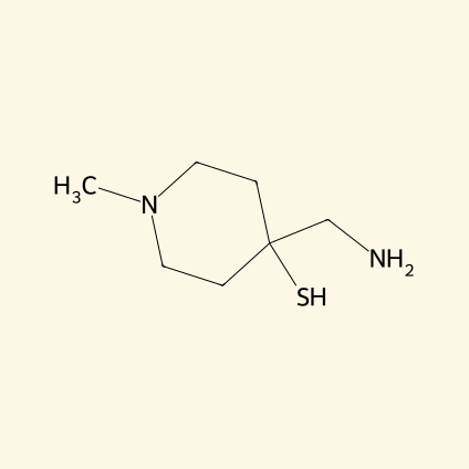 CN1CCC(S)(CN)CC1